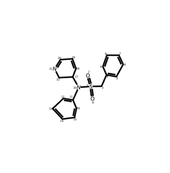 O=S(=O)(Cc1ccccc1)N(c1ccccc1)C1C=CC=NC1